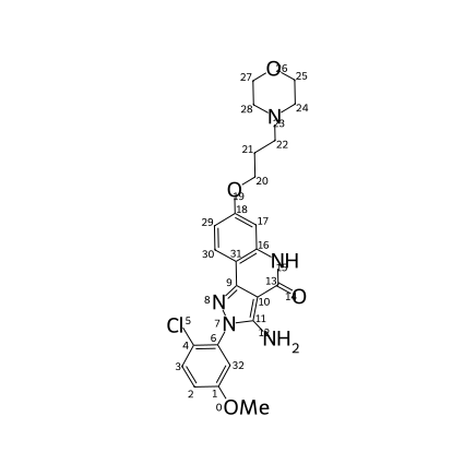 COc1ccc(Cl)c(-n2nc3c(c2N)c(=O)[nH]c2cc(OCCCN4CCOCC4)ccc23)c1